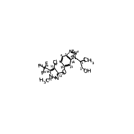 CC(CO)n1nnc2ccc(Oc3nn(C)c(C(F)(F)F)c3Cl)cc21